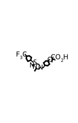 C=CCN(Cc1ccc(OC(C)(C)C(=O)O)cc1)Cc1nnc(-c2ccc(C(F)(F)F)cc2)s1